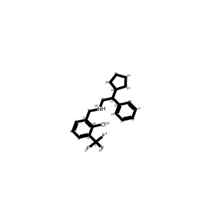 FC(F)(F)c1cccc(CNCC(c2ccccc2)C2CCCC2)c1Cl